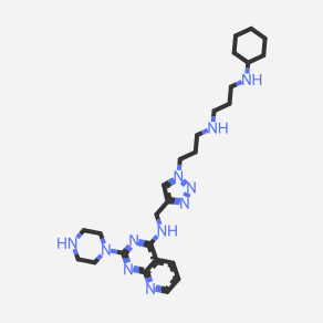 c1cnc2nc(N3CCNCC3)nc(NCc3cn(CCCNCCCNC4CCCCC4)nn3)c2c1